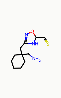 NCC1(CC2=NOC(C=S)N2)CCCCC1